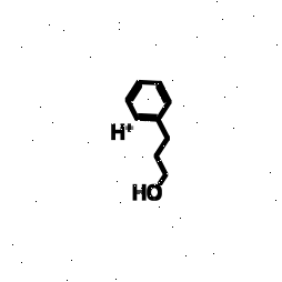 OCCCc1ccccc1.[H+]